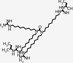 CC=C(C)NC(=N)NCCCCCCCCCN(CCCCCCCCCNC(=N)N)C(=O)N(CCCCCCCCCNC(=N)N)CCCCCCCCCNC(=N)NC(C)=CC